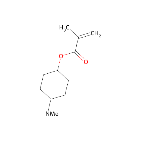 C=C(C)C(=O)OC1CCC(NC)CC1